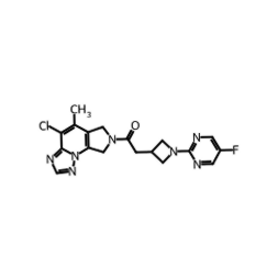 Cc1c2c(n3ncnc3c1Cl)CN(C(=O)CC1CN(c3ncc(F)cn3)C1)C2